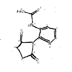 O=C(O)Nc1cccnc1N1C(=O)CCC1=O